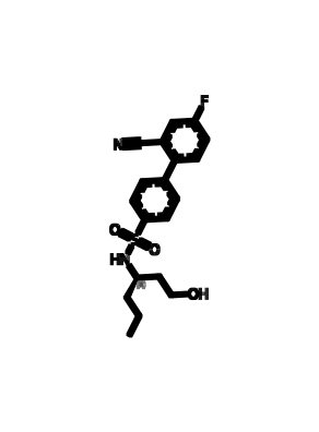 CCC[C@H](CCO)NS(=O)(=O)c1ccc(-c2ccc(F)cc2C#N)cc1